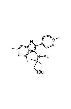 CC(=O)N(c1c(-c2ccc(C)cc2)nc2cc(C)cc(C)n12)C(C)(C)CC(C)(C)C